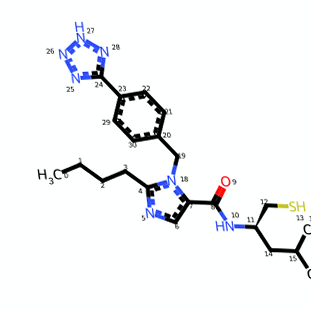 CCCCc1ncc(C(=O)N[C@@H](CS)CC(C)C)n1Cc1ccc(-c2nn[nH]n2)cc1